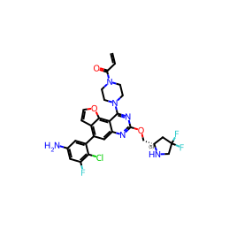 C=CC(=O)N1CCN(c2nc(OC[C@@H]3CC(F)(F)CN3)nc3cc(-c4cc(N)cc(F)c4Cl)c4ccoc4c23)CC1